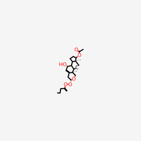 C=C(CCC)OO[C@@H]1CC2=C[C@H](O)C3C4CCC(OC(C)=O)[C@@]4(C)CCC3[C@@]2(C)CO1